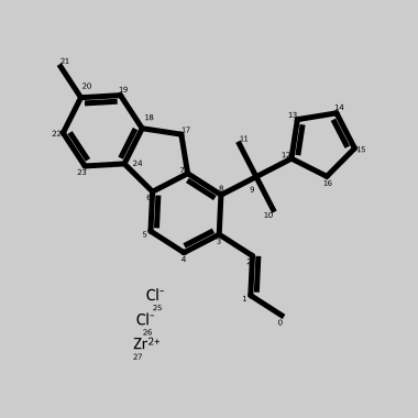 CC=Cc1ccc2c(c1C(C)(C)C1=CC=CC1)Cc1cc(C)ccc1-2.[Cl-].[Cl-].[Zr+2]